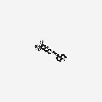 COc1cc(F)c(CC2CCN(CCOc3cccc4nc(C)ccc34)CC2)cc1NS(C)(=O)=O